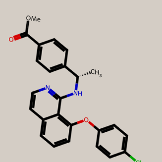 COC(=O)c1ccc([C@H](C)Nc2nccc3cccc(Oc4ccc(Cl)cc4)c23)cc1